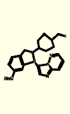 COc1ccc2c(c1)N(c1cnc3cccnn13)N(C1CCC(CI)CC1)C2